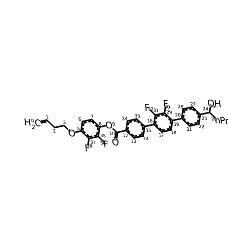 C=CCCOc1ccc(OC(=O)c2ccc(-c3ccc(-c4ccc(C(O)CCC)cc4)c(F)c3F)cc2)c(F)c1F